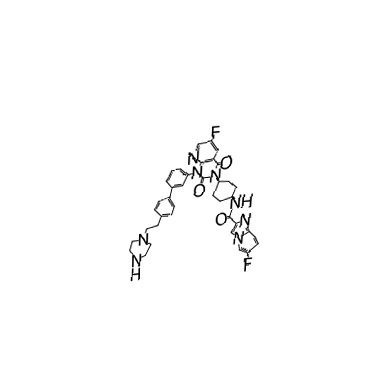 O=C(N[C@H]1CC[C@@H](n2c(=O)c3cc(F)cnc3n(-c3cccc(-c4ccc(CCN5CCNCC5)cc4)c3)c2=O)CC1)c1cn2cc(F)ccc2n1